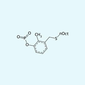 CCCCCCCCSCc1cccc(OP(=O)=O)c1C